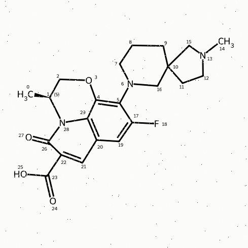 C[C@H]1COc2c(N3CCCC4(CCN(C)C4)C3)c(F)cc3cc(C(=O)O)c(=O)n1c23